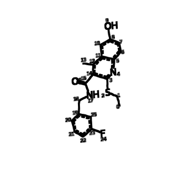 CCSc1nc2ccc(O)cc2c(C)c1C(=O)NCc1cccc(F)c1